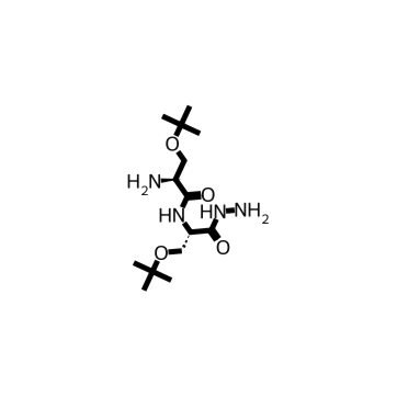 CC(C)(C)OC[C@H](NC(=O)[C@@H](N)COC(C)(C)C)C(=O)NN